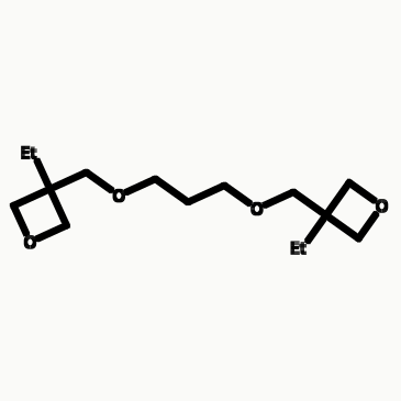 CCC1(COCCCOCC2(CC)COC2)COC1